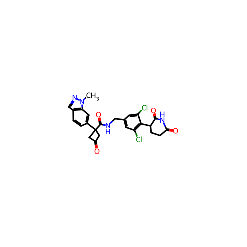 Cn1ncc2ccc(C3(C(=O)NCc4cc(Cl)c(C5CCC(=O)NC5=O)c(Cl)c4)CC(=O)C3)cc21